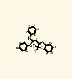 FC(F)(F)C(=CC(=Nc1ccccc1)Sc1ccccc1)Sc1ccccc1